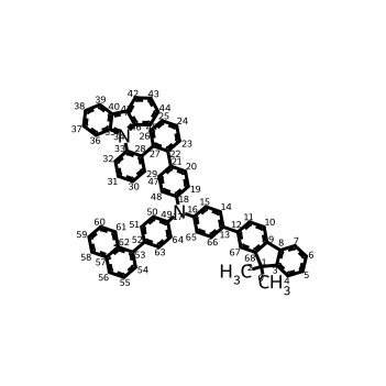 CC1(C)c2ccccc2-c2ccc(-c3ccc(N(c4ccc(-c5ccccc5-c5ccccc5-n5c6ccccc6c6ccccc65)cc4)c4ccc(-c5cccc6ccccc56)cc4)cc3)cc21